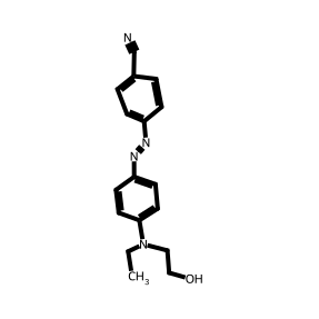 CCN(CCO)c1ccc(N=Nc2ccc(C#N)cc2)cc1